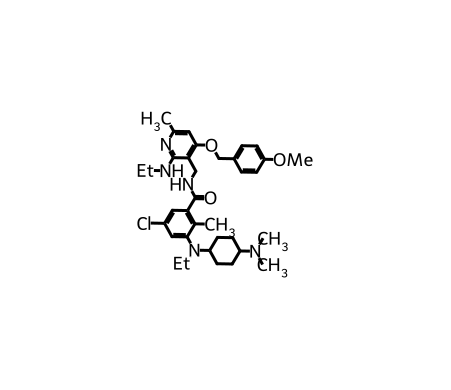 CCNc1nc(C)cc(OCc2ccc(OC)cc2)c1CNC(=O)c1cc(Cl)cc(N(CC)C2CCC(N(C)C)CC2)c1C